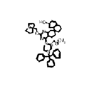 COC[C@H]1CN(C(c2ccccc2)(c2ccccc2)c2ccccc2)CCN1c1nc(OCC23CCCN2CCC3)nc2c1CCC1(CCCc3ccc(O)cc31)C2